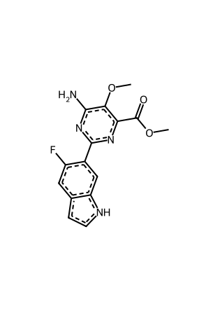 COC(=O)c1nc(-c2cc3[nH]ccc3cc2F)nc(N)c1OC